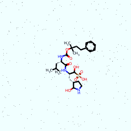 CC(C)C[C@H](NC(=O)OC(C)(C)CCc1ccccc1)C(=O)N[C@@H](C[C@@H]1CCNC1O)C(O)S(=O)(=O)O